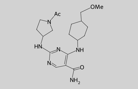 COCC1CCC(Nc2nc(NC3CCN(C(C)=O)C3)ncc2C(N)=O)CC1